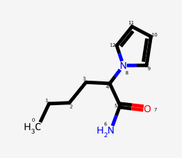 CCCCC(C(N)=O)n1cccc1